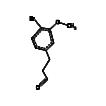 COc1cc(CCC=O)ccc1Br